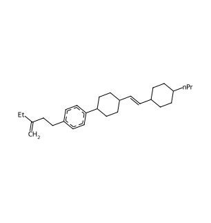 C=C(CC)CCc1ccc(C2CCC(C=CC3CCC(CCC)CC3)CC2)cc1